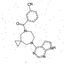 N#Cc1cccc(C(=O)N2CCN(c3ncnc4[nH]ccc34)CC3(CC3)C2)c1